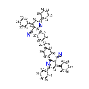 CC(C)(c1ccc(-c2nc(-c3ccccc3)cc(-c3ccccc3)c2C#N)cc1)c1ccc(-c2nc(-c3ccccc3)cc(-c3ccccc3)c2C#N)cc1